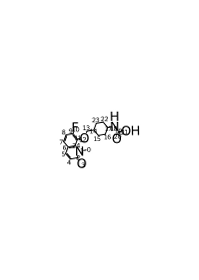 Cn1c(=O)ccc2ccc(F)c(OCC3CCC(NC(=O)O)CC3)c21